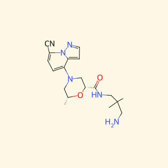 C[C@@H]1CN(c2ccc(C#N)n3nccc23)C[C@H](C(=O)NCC(C)(C)CN)O1